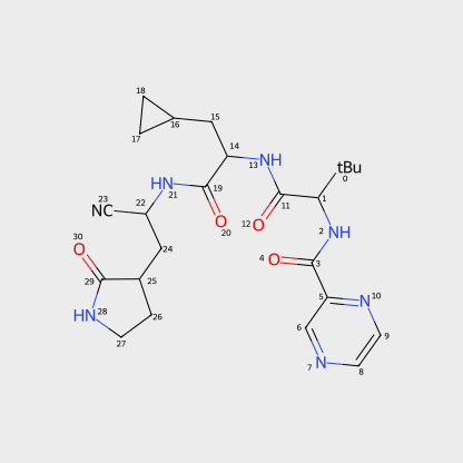 CC(C)(C)C(NC(=O)c1cnccn1)C(=O)NC(CC1CC1)C(=O)NC(C#N)CC1CCNC1=O